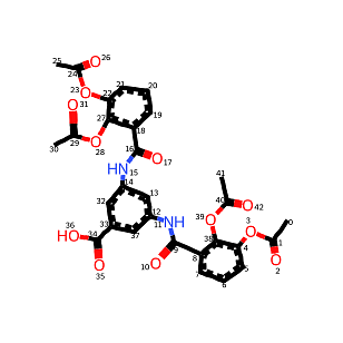 CC(=O)Oc1cccc(C(=O)Nc2cc(NC(=O)c3cccc(OC(C)=O)c3OC(C)=O)cc(C(=O)O)c2)c1OC(C)=O